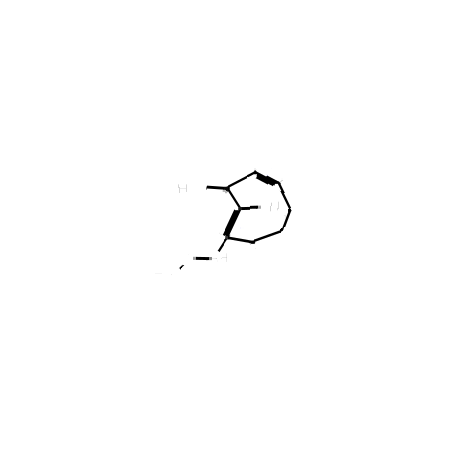 COB/C1=C(/C)C(C)/C=C\CCC1